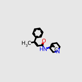 CC(=CC(=O)NC1CN2CCC1CC2)c1ccccc1